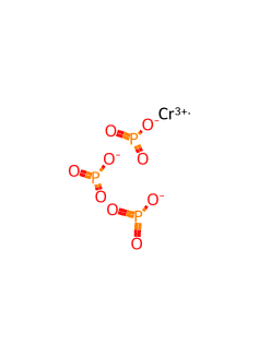 O=P(=O)[O-].O=P(=O)[O-].O=P(=O)[O-].[Cr+3]